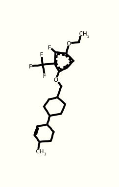 CCOc1ccc(OCC2CCC(C3C=CC(C)CC3)CC2)c(C(F)(F)F)c1F